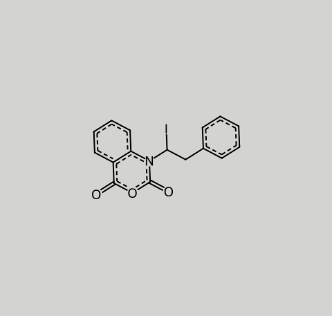 O=c1oc(=O)n(C(I)Cc2ccccc2)c2ccccc12